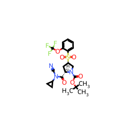 CC(C)(C)OC(=O)N1C[C@H](S(=O)(=O)c2ccccc2OC(F)(F)F)C[C@H]1C(=O)N(C#N)C1CC1